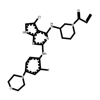 C=CC(=O)N1CCCC(Nc2nc(Nc3ccc(N4CCOCC4)cc3F)nc3[nH]cc(Cl)c23)C1